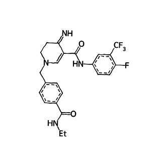 CCNC(=O)c1ccc(CN2C=C(C(=O)Nc3ccc(F)c(C(F)(F)F)c3)C(=N)CC2)cc1